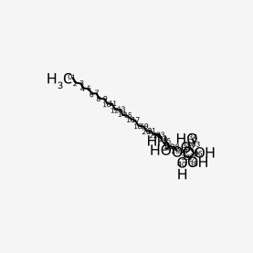 CCCCCCCCCCCCCCCCCCCCCCC=CNCC(O)CO[C@H]1O[C@H](CO)[C@H](O)[C@H](O)[C@H]1O